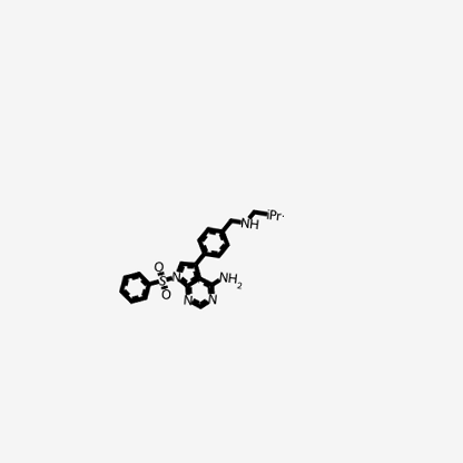 C[C](C)CNCc1ccc(-c2cn(S(=O)(=O)c3ccccc3)c3ncnc(N)c23)cc1